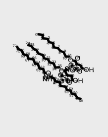 CCCCCCCCCCCCOC(=O)C(CC(=O)O)S(=O)(=O)O.CCCCCCCCCCCCOC(=O)C(CC(=O)O)S(=O)(=O)O.CCCCCCCCCCCCOCCCCCCCCCCCC.N.N